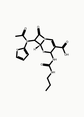 CCCNC(=O)NC1S[C@@H]2C(N(C(C)=O)c3cccs3)C(=O)N2C=C1C(=O)O